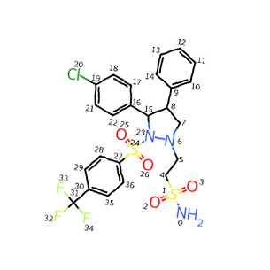 NS(=O)(=O)CCN1CC(c2ccccc2)C(c2ccc(Cl)cc2)N1S(=O)(=O)c1ccc(C(F)(F)F)cc1